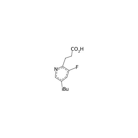 CCC(C)c1cnc(CCC(=O)O)c(F)c1